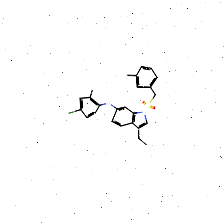 CNCc1cn(S(=O)(=O)Cc2cccc(OC)c2)c2cc(Nc3ccc(Cl)cc3C(F)(F)F)ccc12.Cl